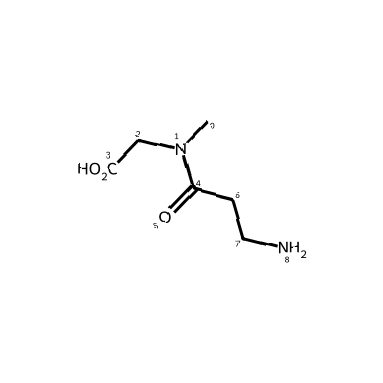 CN(CC(=O)O)C(=O)CCN